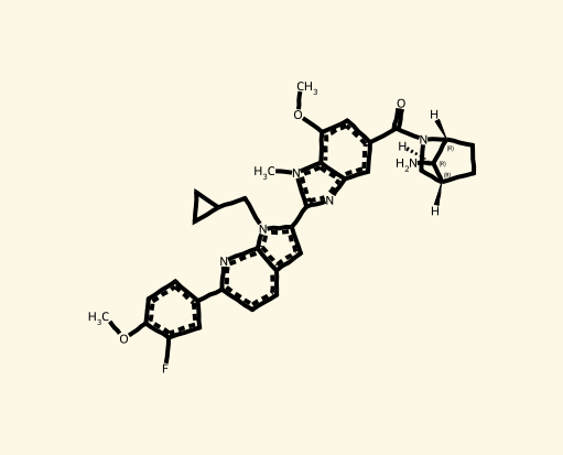 COc1ccc(-c2ccc3cc(-c4nc5cc(C(=O)N6C[C@H]7CC[C@@H]6[C@@H]7N)cc(OC)c5n4C)n(CC4CC4)c3n2)cc1F